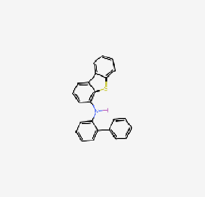 IN(c1ccccc1-c1ccccc1)c1cccc2c1sc1ccccc12